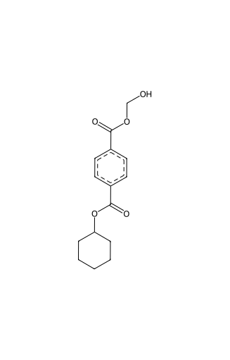 O=C(OCO)c1ccc(C(=O)OC2CCCCC2)cc1